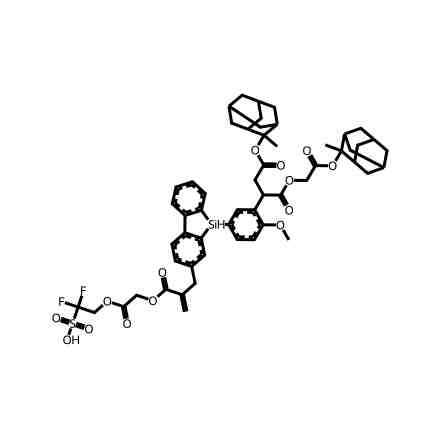 C=C(Cc1ccc2c(c1)[SiH](c1ccc(OC)c(C(CC(=O)OC3(C)C4CC5CC(C4)CC3C5)C(=O)OCC(=O)OC3(C)C4CC5CC(C4)CC3C5)c1)c1ccccc1-2)C(=O)OCC(=O)OCC(F)(F)S(=O)(=O)O